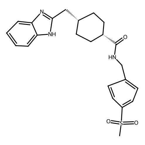 CS(=O)(=O)c1ccc(CNC(=O)[C@H]2CC[C@@H](Cc3nc4ccccc4[nH]3)CC2)cc1